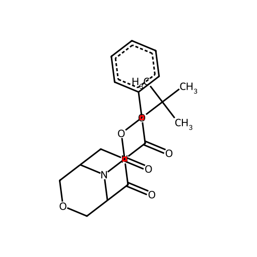 CC(C)(C)OC(=O)N1CC2COCC(C1=O)N2C(=O)OCc1ccccc1